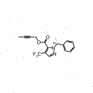 CC#CCOC(=O)c1c(C(F)(F)F)cnn1[C@H](C)c1ccccc1